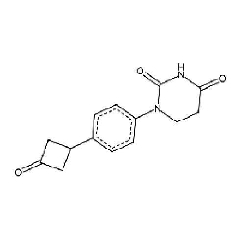 O=C1CC(c2ccc(N3CCC(=O)NC3=O)cc2)C1